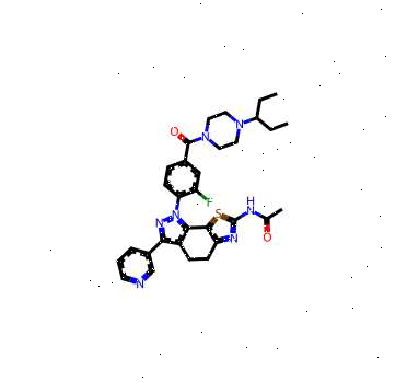 CCC(CC)N1CCN(C(=O)c2ccc(-n3nc(-c4cccnc4)c4c3-c3sc(NC(C)=O)nc3CC4)c(F)c2)CC1